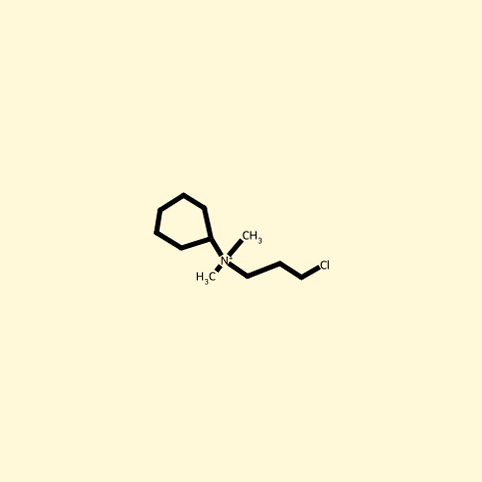 C[N+](C)(CCCCl)C1CCCCC1